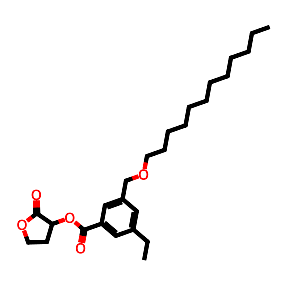 CCCCCCCCCCCCOCc1cc(CC)cc(C(=O)OC2CCOC2=O)c1